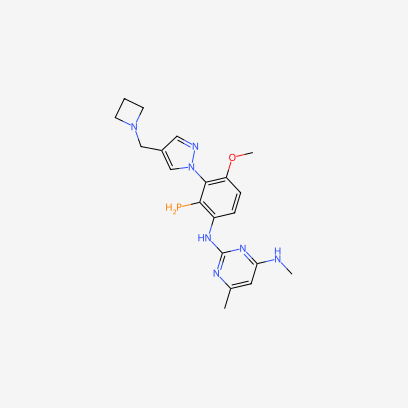 CNc1cc(C)nc(Nc2ccc(OC)c(-n3cc(CN4CCC4)cn3)c2P)n1